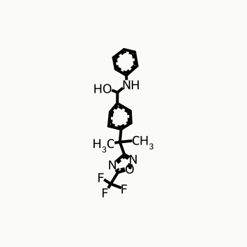 CC(C)(c1ccc(C(O)Nc2ccccc2)cc1)c1noc(C(F)(F)F)n1